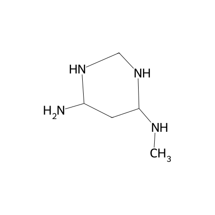 CNC1CC(N)NCN1